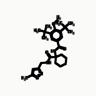 COc1c(C(C)(C)C)cc(C(=O)NC2(C(=O)NCc3cc(C)on3)CCCCC2)cc1C(C)(C)C